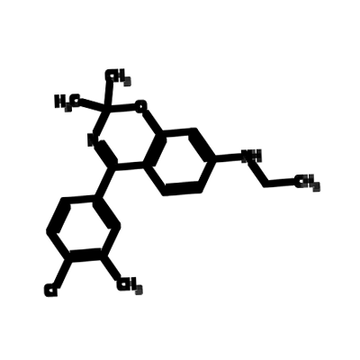 CCNc1ccc2c(c1)OC(C)(C)N=C2c1ccc(Cl)c(C)c1